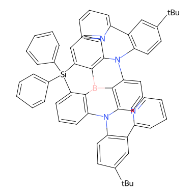 CC(C)(C)c1ccc(N2c3cccc4c3B3c5c2cccc5[Si](c2ccccc2)(c2ccccc2)c2cccc(c23)N4c2ccc(C(C)(C)C)cc2-c2ccccn2)c(-c2ccccn2)c1